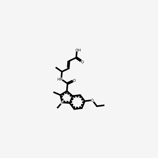 CCOc1ccc2c(c1)c(C(=O)NC(C)/C=C/C(=O)O)c(C)n2C